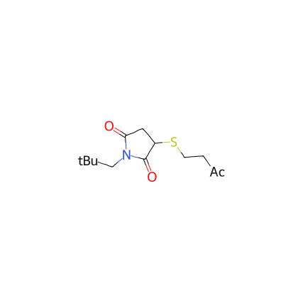 CC(=O)CCSC1CC(=O)N(CC(C)(C)C)C1=O